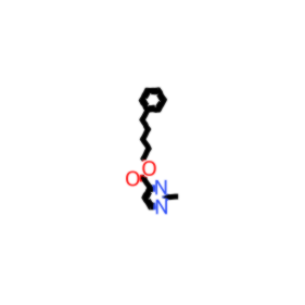 Cc1nccc(C(=O)OCCCCCc2ccccc2)n1